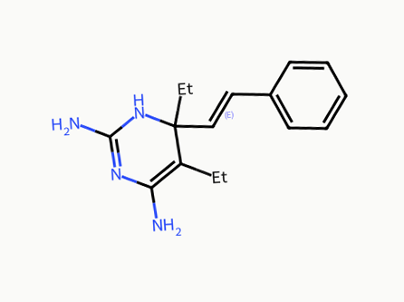 CCC1=C(N)N=C(N)NC1(/C=C/c1ccccc1)CC